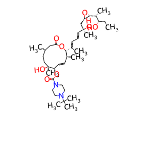 CC[C@H](O)[C@@H](C)[C@H]1O[C@@H]1C[C@@](C)(O)/C=C/C=C(\C)[C@H]1OC(=O)C[C@H](C)CC[C@@](C)(O)[C@@H](OC(=O)N2CCN(C(C)(C)C)CC2)/C=C/[C@@H]1C